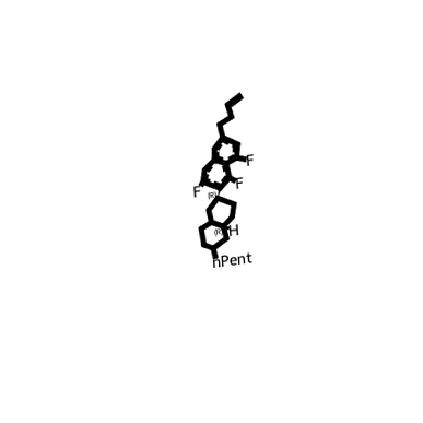 C=CCCc1cc(F)c2c(F)c([C@@H]3CC[C@@H]4CC(CCCCC)CCC4C3)c(F)cc2c1